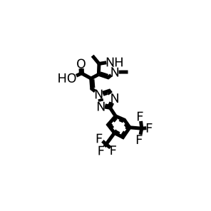 CC1NN(C)C=C1/C(=C\n1cnc(-c2cc(C(F)(F)F)cc(C(F)(F)F)c2)n1)C(=O)O